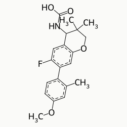 COc1ccc(-c2cc3c(cc2F)C(NC(=O)O)C(C)(C)CO3)c(C)c1